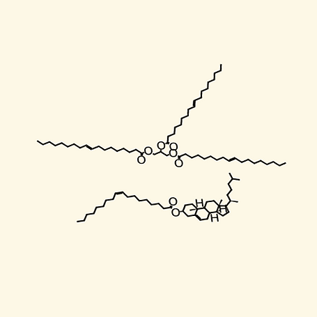 CCCCCCCC/C=C/CCCCCCCC(=O)OCC(COC(=O)CCCCCCC/C=C/CCCCCCCC)OC(=O)CCCCCCC/C=C/CCCCCCCC.CCCCCCCC/C=C\CCCCCCCC(=O)O[C@H]1CC[C@@]2(C)C(=CC[C@H]3[C@@H]4CC[C@H]([C@H](C)CCCC(C)C)[C@@]4(C)CC[C@@H]32)C1